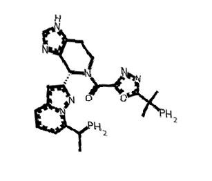 CC(P)c1cccc2cc([C@@H]3c4nc[nH]c4CCN3C(=O)c3nnc(C(C)(C)P)o3)nn12